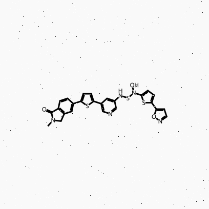 CN1Cc2cc(-c3ccc(-c4cncc(NSN(O)c5ccc(-c6ccno6)s5)c4)s3)ccc2C1=O